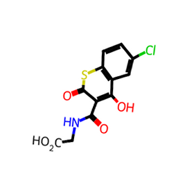 O=C(O)CNC(=O)c1c(O)c2cc(Cl)ccc2sc1=O